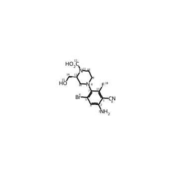 N#Cc1c(N)cc(Br)c(N2CCN(C(=O)O)[C@H](CO)C2)c1F